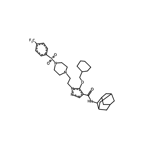 O=C(NC1C2CC3CC(C2)CC1C3)c1cnn(CCN2CCN(S(=O)(=O)c3ccc(C(F)(F)F)cc3)CC2)c1OCC1CCCCC1